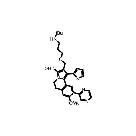 COc1cc2c(cc1-c1cnccn1)-c1c(-c3cccs3)c(COCCCNC(C)(C)C)c(C=O)n1CC2